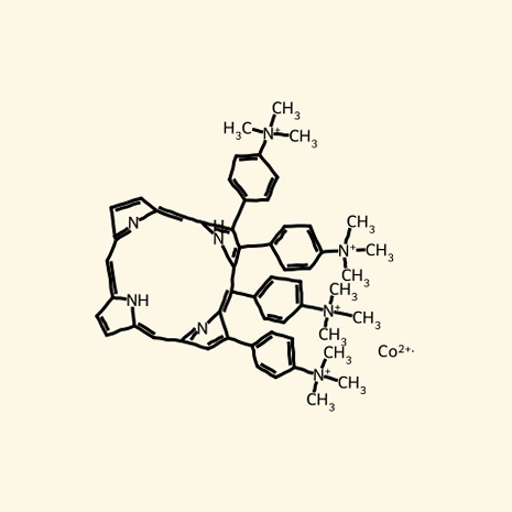 C[N+](C)(C)c1ccc(C2=Cc3cc4ccc(cc5nc(cc6[nH]c(c(-c7ccc([N+](C)(C)C)cc7)c2n3)c(-c2ccc([N+](C)(C)C)cc2)c6-c2ccc([N+](C)(C)C)cc2)C=C5)[nH]4)cc1.[Co+2]